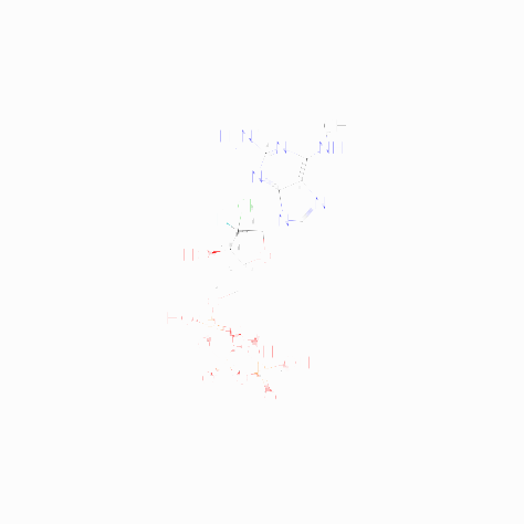 CNc1nc(N)nc2c1ncn2[C@@H]1O[C@H](COP(=O)(O)OP(=O)(O)OP(=O)(O)O)[C@@H](O)[C@]1(F)Cl